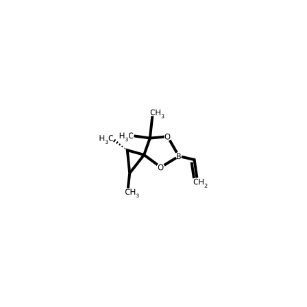 C=CB1OC(C)(C)C2(O1)C(C)[C@@H]2C